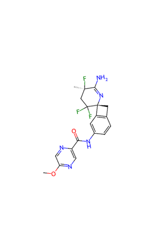 COc1cnc(C(=O)Nc2ccc3c(c2)[C@@]2(C3)N=C(N)[C@](C)(F)CC2(F)F)cn1